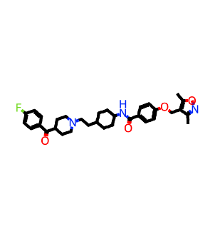 Cc1noc(C)c1COc1ccc(C(=O)NC2CCC(CCN3CCC(C(=O)c4ccc(F)cc4)CC3)CC2)cc1